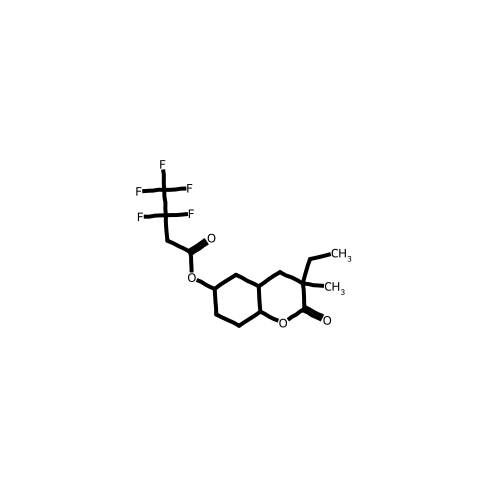 CCC1(C)CC2CC(OC(=O)CC(F)(F)C(F)(F)F)CCC2OC1=O